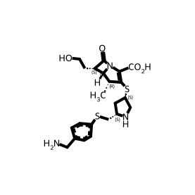 C[C@H]1C(S[C@@H]2CN[C@H](CSc3ccc(CN)cc3)C2)=C(C(=O)O)N2C(=O)[C@@H](CCO)[C@@H]12